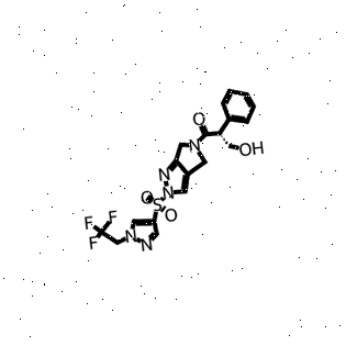 O=C([C@@H](CO)c1ccccc1)N1Cc2cn(S(=O)(=O)c3cnn(CC(F)(F)F)c3)nc2C1